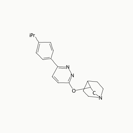 CC(C)c1ccc(-c2ccc(OC3CN4CCC3CC4)nn2)cc1